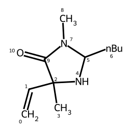 C=CC1(C)NC(CCCC)N(C)C1=O